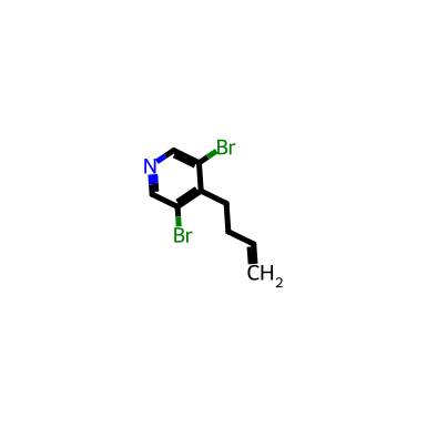 C=CCCc1c(Br)cncc1Br